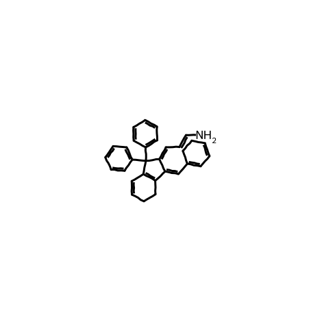 N/C=C/C=C1\C(=C/C2=CC=CCC2)C2=C(C=CCC2)C1(c1ccccc1)c1ccccc1